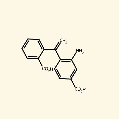 C=C(c1ccc(C(=O)O)cc1N)c1ccccc1C(=O)O